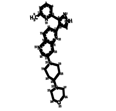 Cc1cccc(-c2n[nH]cc2-c2ccc3ncc(N4CCC(N5CCOCC5)CC4)cc3n2)n1